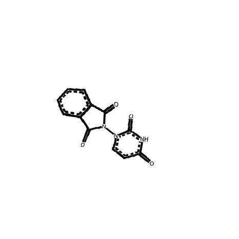 O=C1c2ccccc2C(=O)N1n1ccc(=O)[nH]c1=O